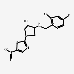 Cl.O=[N+]([O-])c1cnc(N2CCC(NCc3ccc(F)cc3Cl)C2)s1